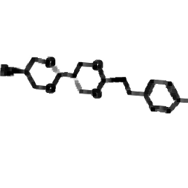 CCCC[C@H]1CO[C@H]([C@H]2CO[C@H](CCc3ccc(F)cc3)OC2)OC1